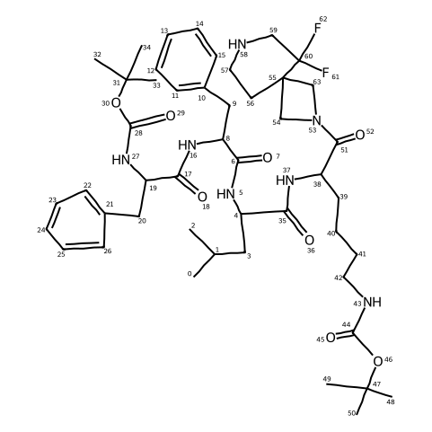 CC(C)CC(NC(=O)C(Cc1ccccc1)NC(=O)C(Cc1ccccc1)NC(=O)OC(C)(C)C)C(=O)NC(CCCCNC(=O)OC(C)(C)C)C(=O)N1CC2(CCNCC2(F)F)C1